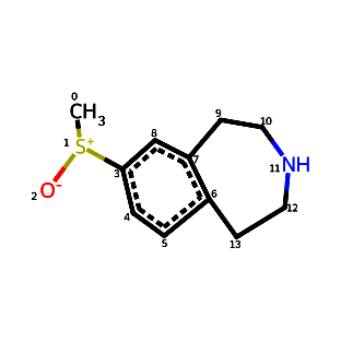 C[S+]([O-])c1ccc2c(c1)CCNCC2